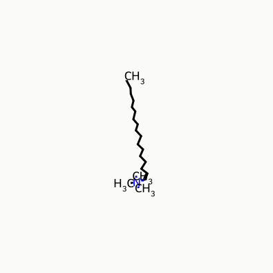 CCCCCCCCCCCCCCCC/C=C\[N+](C)(C)C